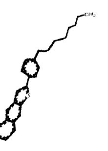 CCCCCCCCc1ccc(-c2cc3cc4ccccc4cc3s2)cc1